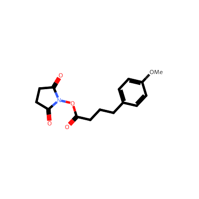 COc1ccc(CCCC(=O)ON2C(=O)CCC2=O)cc1